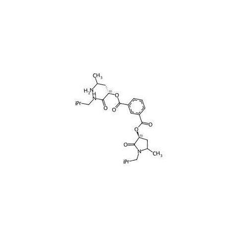 CC(C)CNC(=O)[C@H](CC(C)N)OC(=O)c1cccc(C(=O)O[C@H]2CC(C)N(CC(C)C)C2=O)c1